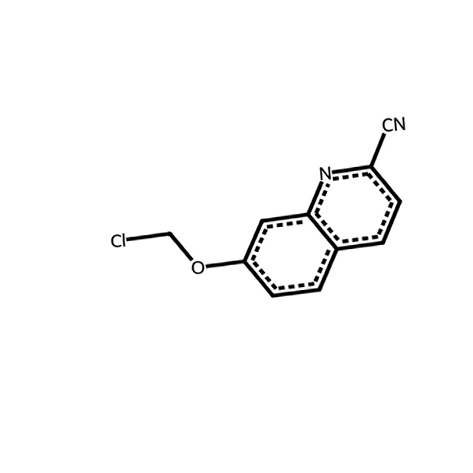 N#Cc1ccc2ccc(OCCl)cc2n1